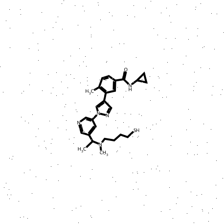 Cc1ccc(C(=O)NC2CC2)cc1-c1cnn(-c2cncc(C(C)N(C)CCCCS)c2)c1